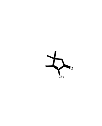 CC1=C(O)C(=O)CC1(C)C